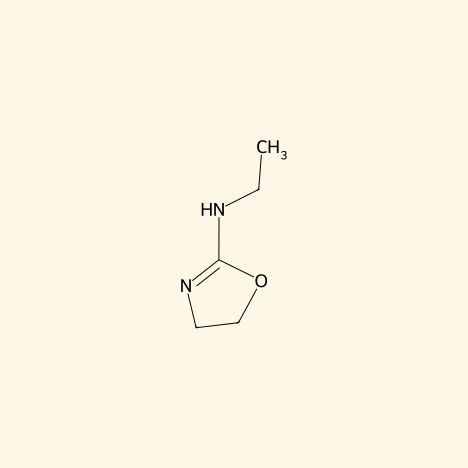 CCNC1=NCCO1